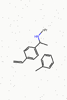 C=Cc1ccc(C(C)NCCC)cc1.Cc1ccccc1